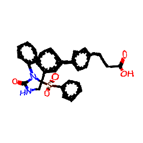 O=C(O)CCc1ccc(-c2cccc(C3(S(=O)(=O)c4ccccc4)CNC(=O)N3c3ccccc3)c2)cc1